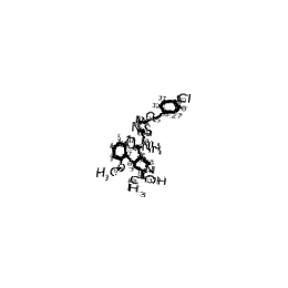 COc1ccccc1-c1cc([C@@H](C)O)ncc1C(=O)Nc1nnc(OCc2ccc(Cl)cc2)s1